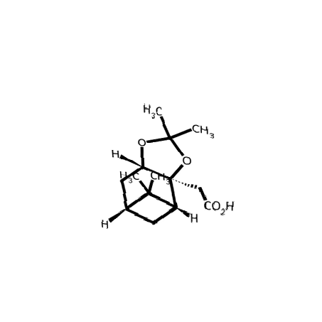 CC1(C)O[C@H]2C[C@H]3C[C@H](C3(C)C)[C@]2(CC(=O)O)O1